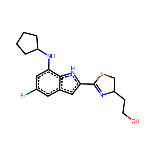 OCCC1CSC(c2cc3cc(Br)cc(NC4CCCC4)c3[nH]2)=N1